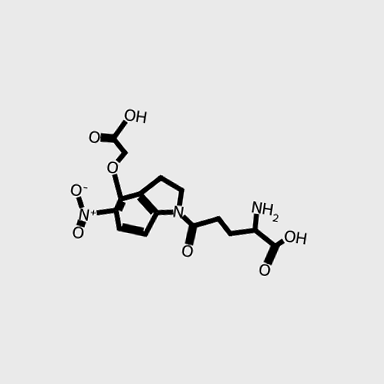 NC(CCC(=O)N1CCc2c1ccc([N+](=O)[O-])c2OCC(=O)O)C(=O)O